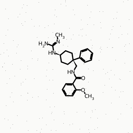 CN=C(N)N[C@H]1CC[C@](CNC(=O)c2ccccc2OC)(c2ccccc2)CC1